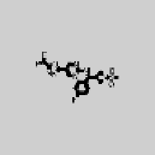 CS(=O)(=O)N1CC(C(Nc2ncc(-c3nnc(C(F)F)o3)cn2)c2ccc(F)cc2)C1